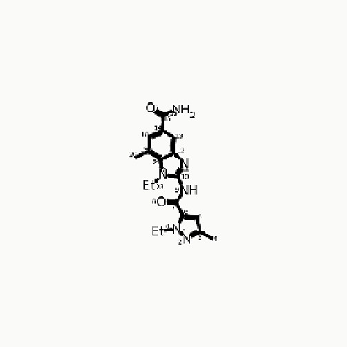 CCn1nc(C)cc1C(=O)Nc1nc2cc(C(N)=O)cc(C)c2n1CC